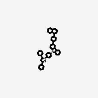 c1ccc(-c2cc(-c3ccccc3)n(-c3ccc(-n4c5ccccc5c5cc(-c6ccc(-c7cccc8ccccc78)cc6)ccc54)cc3)n2)cc1